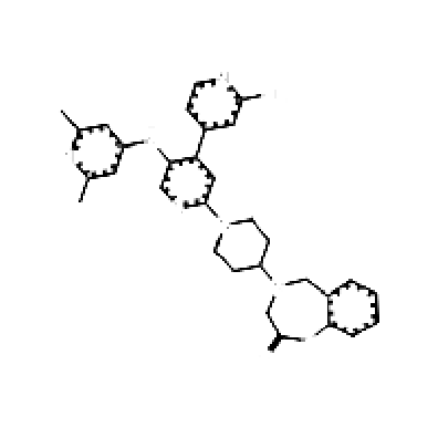 Cc1cc(Nc2cnc(N3CCC(N4CC(=O)Nc5ccccc5C4)CC3)cc2-c2ccnc(C(F)(F)F)c2)cc(C)n1